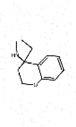 CCC1(NC)CCOc2ccccc21